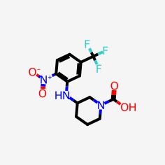 O=C(O)N1CCCC(Nc2cc(C(F)(F)F)ccc2[N+](=O)[O-])C1